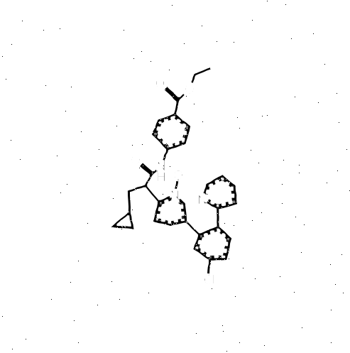 CCOC(=O)c1ccc(NC(=O)C(CC2CC2)c2ccc(-c3cc(Cl)ccc3-c3ccccn3)c[n+]2[O-])cc1